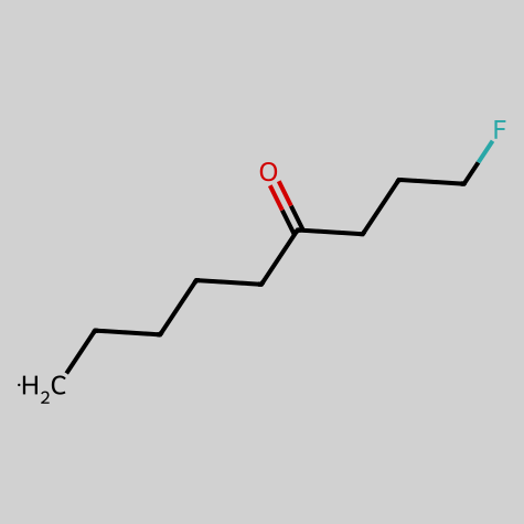 [CH2]CCCCC(=O)CCCF